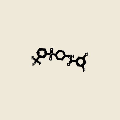 O=C(NC1CCC(S(=O)(=O)c2cccc(C(F)(F)F)c2)CC1)c1cc(F)cc(Cl)c1